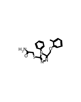 Cc1ccccc1OCc1nnc(SCC(N)=O)n1-c1ccccc1